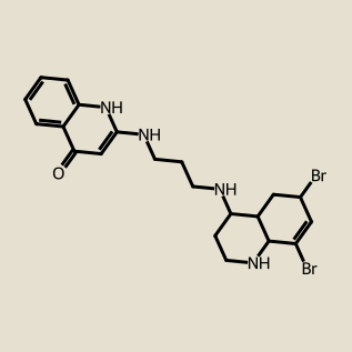 O=c1cc(NCCCNC2CCNC3C(Br)=CC(Br)CC23)[nH]c2ccccc12